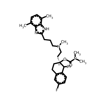 Cc1ccc(C)c2[nH]c(CCCN(C)CC[C@@]3(OC(=O)N(C)C)CCc4cc(F)ccc4C3C(C)C)nc12